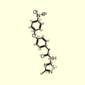 Cc1nsc(NC(=O)Cc2ccc(Oc3ccc([N+](=O)[O-])cc3)cc2)n1